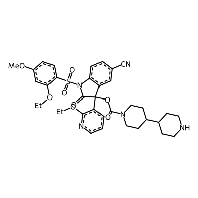 CCOc1cc(OC)ccc1S(=O)(=O)N1C(=O)C(OC(=O)N2CCC(C3CCNCC3)CC2)(c2cccnc2OCC)c2cc(C#N)ccc21